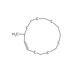 CC1/C=C\CCCCCCCCCCCC1